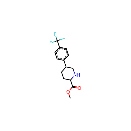 COC(=O)C1CCC(c2ccc(C(F)(F)F)cc2)CN1